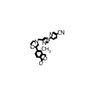 Cc1c(C2CN(Cc3cn(-c4ccc(C#N)cn4)cn3)CCO2)ccc2c1COC2=O